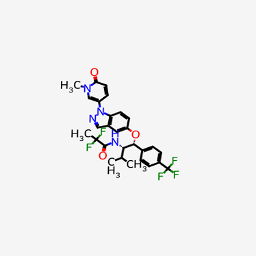 CC(C)[C@H](NC(=O)C(C)(F)F)[C@H](Oc1ccc2c(cnn2-c2ccc(=O)n(C)c2)c1)c1ccc(C(F)(F)F)cc1